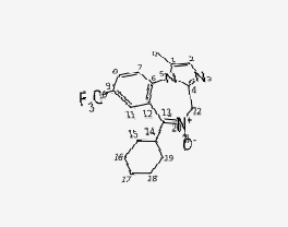 Cc1cnc2n1-c1ccc(C(F)(F)F)cc1C(C1CCCCC1)=[N+]([O-])C2